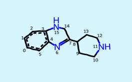 c1ccc2c(c1)N=C(C1CCNCC1)CN2